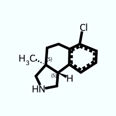 C[C@]12CCc3c(Cl)cccc3[C@@H]1CNC2